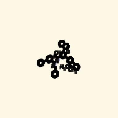 C=N/C(=N\C(=N/Cc1ccccc1)c1cccc(-c2ccccc2)c1)c1cc(-c2ccc3c(c2)C(C)(C)c2ccccc2-3)c2c(c1)C1C(=CC=C3C=CC=CC31)O2